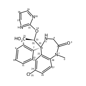 CN1C(=O)CN[C@](c2ccccc2)([C@H](Oc2ncccn2)C(=O)O)c2cc(Cl)ccc21